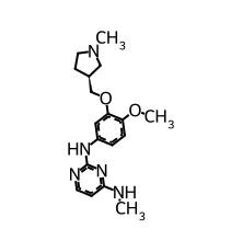 CNc1ccnc(Nc2ccc(OC)c(OC[C@H]3CCN(C)C3)c2)n1